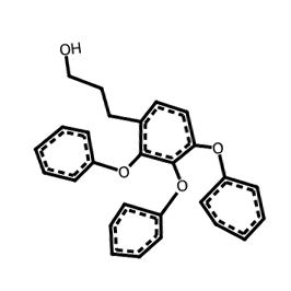 OCCCc1ccc(Oc2ccccc2)c(Oc2ccccc2)c1Oc1ccccc1